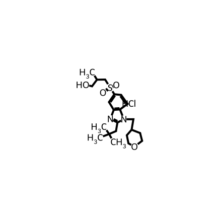 CC(CO)CS(=O)(=O)c1ccc2c(c1)nc(CC(C)(C)C)n2CC1CCOCC1.Cl